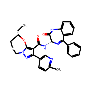 CC[C@H]1CCCn2nc(-c3ccc(C)nc3)c(C(=O)N[C@H]3N=C(c4ccccc4)c4ccccc4NC3=O)c2O1